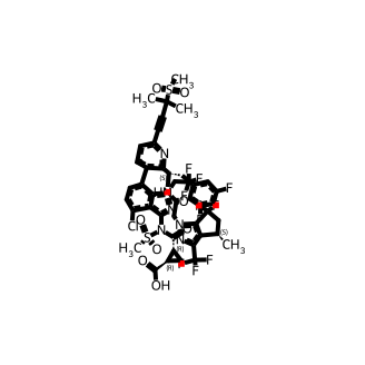 C[C@H]1CC(F)(F)c2c1c(C(F)(F)F)nn2CC(=O)N[C@@H](Cc1cc(F)cc(F)c1)c1nc(C#CC(C)(C)S(C)(=O)=O)ccc1-c1ccc(Cl)c2c(N(C(=O)[C@@H]3C[C@H]3C(=O)O)S(C)(=O)=O)nn(CC(F)(F)F)c12